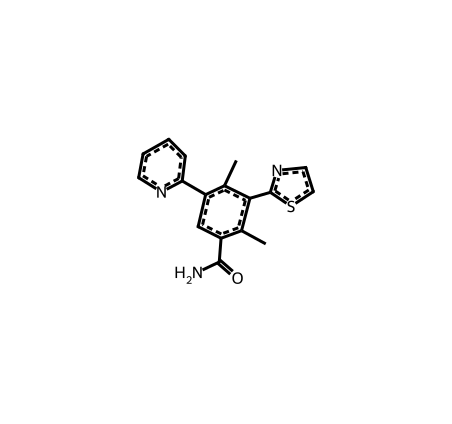 Cc1c(C(N)=O)cc(-c2ccccn2)c(C)c1-c1nccs1